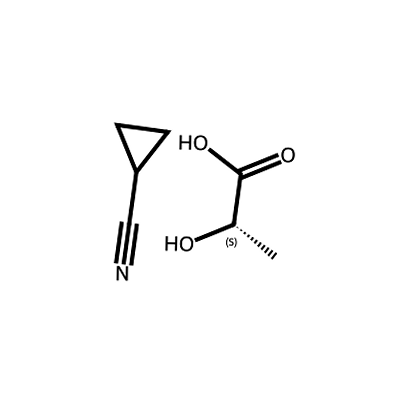 C[C@H](O)C(=O)O.N#CC1CC1